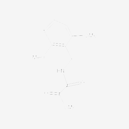 COC(=O)C(=O)NCc1c(OC)cccc1OC